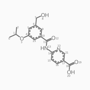 CC(C)Oc1cc(CO)cc(C(=O)Nc2ccc(C(=O)O)cn2)c1